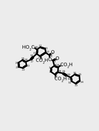 O=C(O)c1ccc(C(=O)OC(=O)c2ccc(C(=O)O)c(C#Cc3ccccc3)c2C(=O)O)c(C(=O)O)c1C#Cc1ccccc1